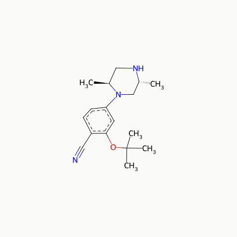 C[C@@H]1CN(c2ccc(C#N)c(OC(C)(C)C)c2)[C@@H](C)CN1